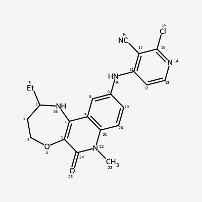 CCC1CCOc2c(c3cc(Nc4ccnc(Cl)c4C#N)ccc3n(C)c2=O)N1